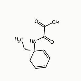 CC[C@]1(NC(=O)C(=O)O)C=CC=CC1